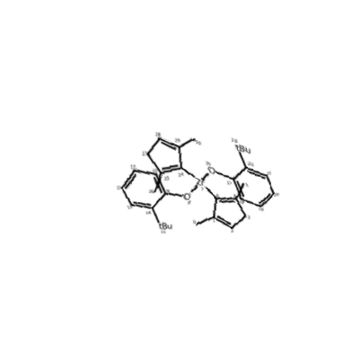 CC1=CCC(C)=[C]1[Zr]([O]c1ccccc1C(C)(C)C)([O]c1ccccc1C(C)(C)C)[C]1=C(C)CC=C1C